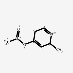 CC1C=C(OS(=O)C(F)(F)F)CC=N1